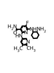 Cc1cc(Nc2nc(NC3CCCC[C@@H]3N)c(F)cc2C(N)=O)cnc1C